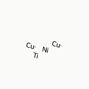 [Cu].[Cu].[Ni].[Ti]